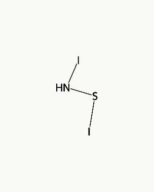 INSI